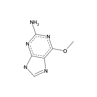 COc1nc(N)nc2c1N=C[N]2